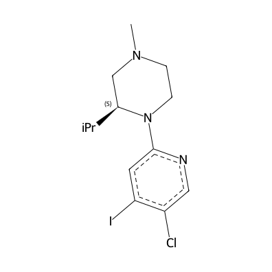 CC(C)[C@H]1CN(C)CCN1c1cc(I)c(Cl)cn1